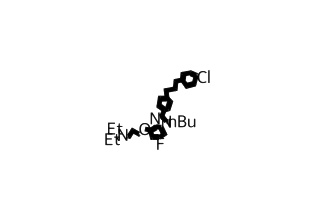 CCCCn1c(-c2ccc(CCCc3ccc(Cl)cc3)cc2)nc2c(OCCCN(CC)CC)cc(F)cc21